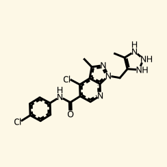 CC1=C(Cn2nc(C)c3c(Cl)c(C(=O)Nc4ccc(Cl)cc4)cnc32)NNN1